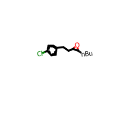 CCCCC1OC1CCc1ccc(Cl)cc1